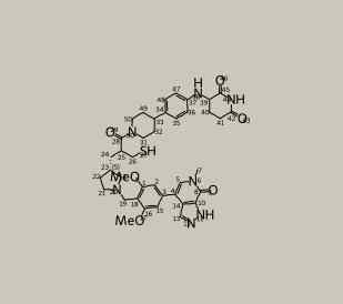 COc1cc(-c2cn(C)c(=O)c3[nH]ncc23)cc(OC)c1CN1CC[C@H](CC(CS)C(=O)N2CCC(c3ccc(NC4CCC(=O)NC4=O)cc3)CC2)C1